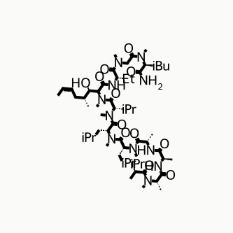 C/C=C\C[C@@H](C)[C@H](O)C(C(=O)N[C@@H](CC)C(=O)N(C)CC(=O)N(C)[C@H](C(N)=O)C(C)CC)N(C)C(=O)[C@H](C(C)C)N(C)C(=O)[C@@H](CC(C)C)N(C)C(=O)[C@@H](CC(C)C)N(C)C(=O)[C@H](C)NC(=O)[C@@H](C)NC(=O)[C@H](C)N(C)C(=O)[C@H](C)C(C)C